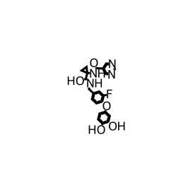 O=C(NC1(C(O)NCc2ccc(Oc3ccc(O)c(O)c3)c(F)c2)CC1)c1cncnc1